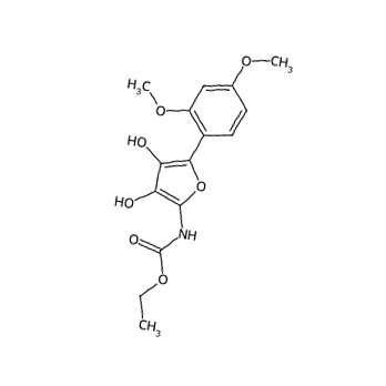 CCOC(=O)Nc1oc(-c2ccc(OC)cc2OC)c(O)c1O